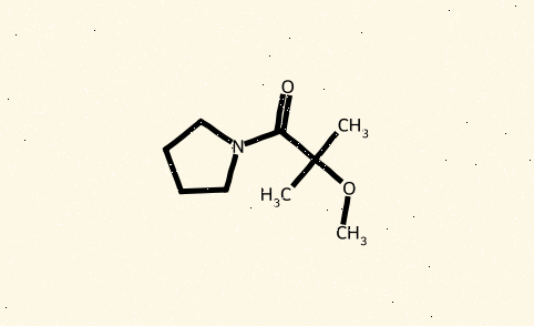 COC(C)(C)C(=O)N1CCCC1